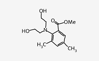 COC(=O)c1cc(C)cc(C)c1N(CCO)CCO